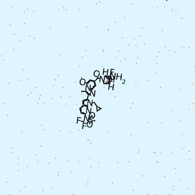 COc1cc(C(=O)N2C[C@H]3CC(F)[C@@H]2[C@@H]3N)cc2nc(-c3cc4ccc(N(C(F)F)S(C)(=O)=O)nc4n3CC3CC3)c(C)n12